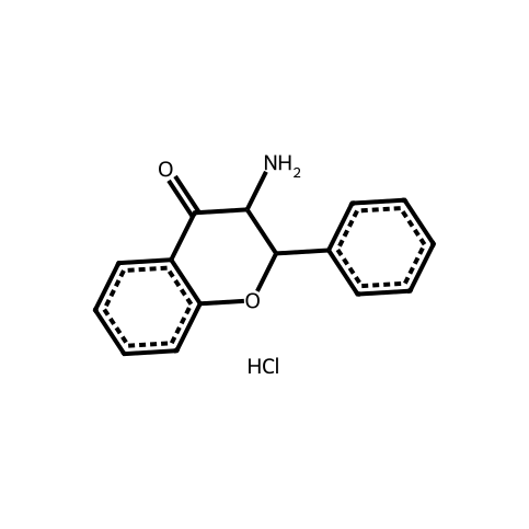 Cl.NC1C(=O)c2ccccc2OC1c1ccccc1